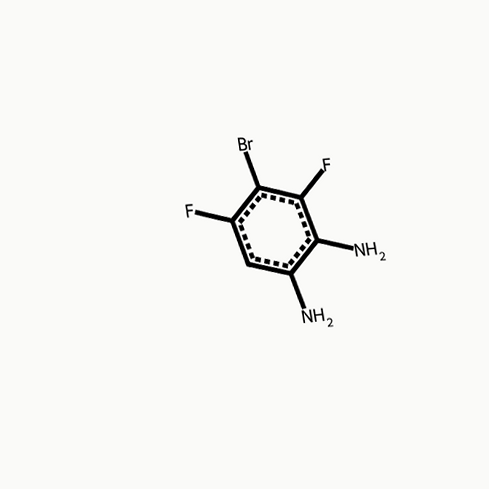 Nc1cc(F)c(Br)c(F)c1N